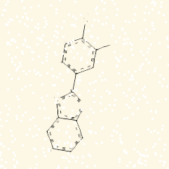 Cc1cc(-c2nc3ccccc3o2)ccc1[N+](=O)[O-]